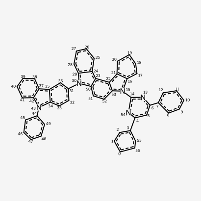 c1ccc(-c2cc(-c3ccccc3)nc(-n3c4ccccc4c4c5c6ccccc6n(-c6ccc7c(c6)c6ccccc6n7-c6ccccc6)c5ccc43)n2)cc1